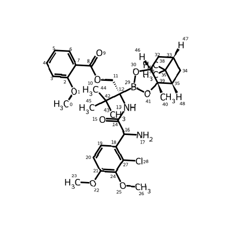 COc1ccccc1C(=O)OC[C@@](NC(=O)C(N)c1ccc(OC)c(OC)c1Cl)(B1O[C@@H]2C[C@@H]3C[C@@H](C3(C)C)[C@]2(C)O1)C(C)(C)C